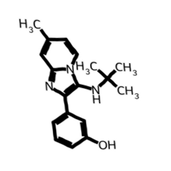 Cc1ccn2c(NC(C)(C)C)c(-c3cccc(O)c3)nc2c1